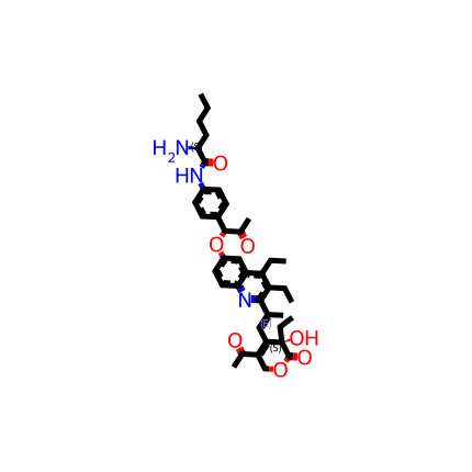 CCCC[C@H](N)C(=O)Nc1ccc(C(Oc2ccc3nc(/C(C)=C/C4=C(C(C)=O)COC(=O)[C@]4(O)CC)c(CC)c(CC)c3c2)C(C)=O)cc1